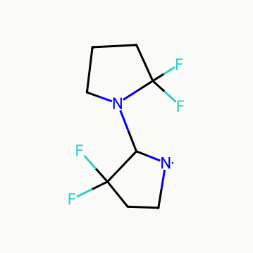 FC1(F)CC[N]C1N1CCCC1(F)F